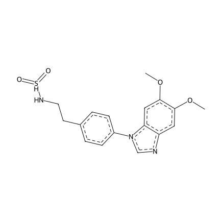 COc1cc2ncn(-c3ccc(CCN[SH](=O)=O)cc3)c2cc1OC